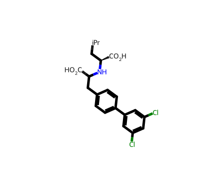 CC(C)C[C@H](NC(Cc1ccc(-c2cc(Cl)cc(Cl)c2)cc1)C(=O)O)C(=O)O